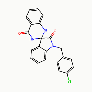 O=C1NC2(Nc3ccccc31)C(=O)N(Cc1ccc(Cl)cc1)c1ccccc12